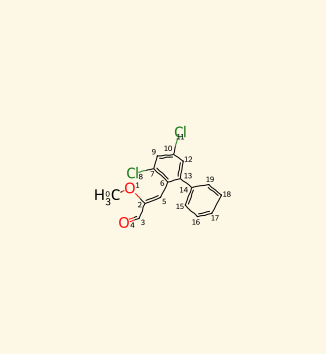 COC(C=O)=Cc1c(Cl)cc(Cl)cc1-c1ccccc1